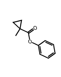 CC1(C(=O)Oc2ccccc2)CC1